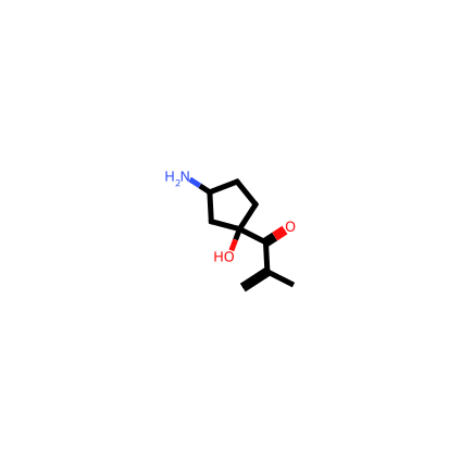 C=C(C)C(=O)C1(O)CCC(N)C1